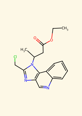 CCOC(=O)CC(C)n1c(CCl)nc2cnc3ccccc3c21